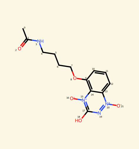 CC(=O)NCCCCOc1cccc2c1[n+]([O-])c(O)n[n+]2[O-]